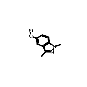 CCOc1ccc2c(c1)c(C)nn2C